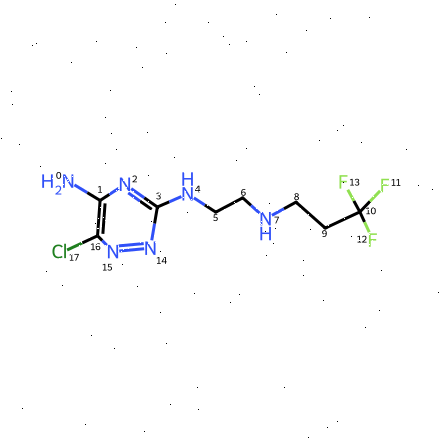 Nc1nc(NCCNCCC(F)(F)F)nnc1Cl